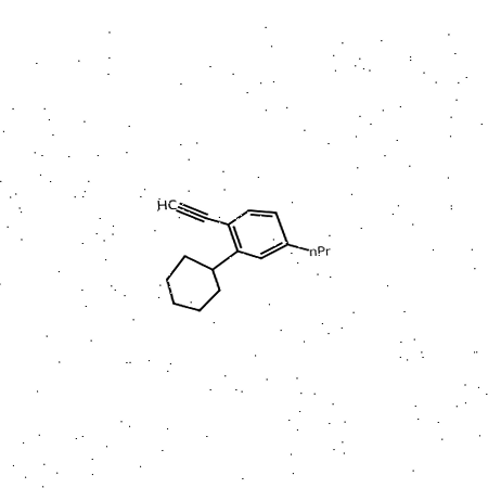 C#Cc1ccc(CCC)cc1C1CCCCC1